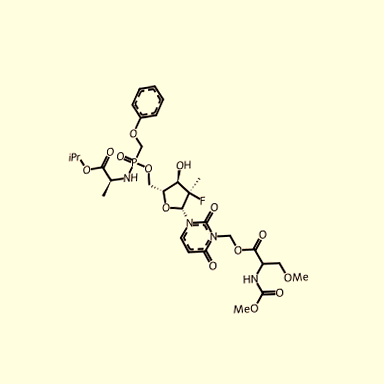 COCC(NC(=O)OC)C(=O)OCn1c(=O)ccn([C@@H]2O[C@H](COP(=O)(COc3ccccc3)N[C@@H](C)C(=O)OC(C)C)[C@@H](O)[C@@]2(C)F)c1=O